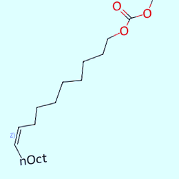 CCCCCCCC/C=C\CCCCCCCCOC(=O)OCCCCCC